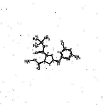 COC(=O)[C@@H]1C[C@H](Nc2nc(C)cc(Cl)n2)CN1C(=O)OC(C)(C)C